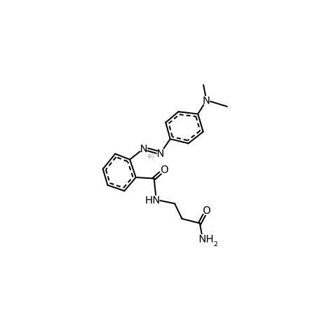 CN(C)c1ccc(/N=N/c2ccccc2C(=O)NCCC(N)=O)cc1